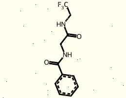 O=C(CNC(=O)c1ccccc1)NCC(F)(F)F